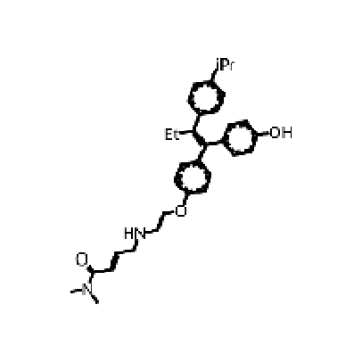 CCC(=C(c1ccc(O)cc1)c1ccc(OCCNCC=CC(=O)N(C)C)cc1)c1ccc(C(C)C)cc1